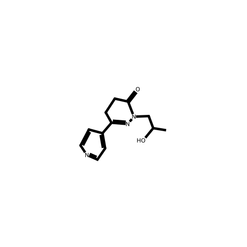 CC(O)CN1N=C(c2ccncc2)CCC1=O